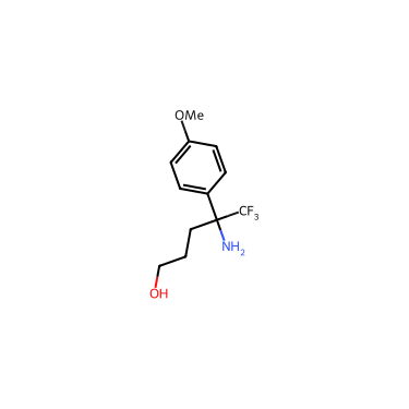 COc1ccc(C(N)(CCCO)C(F)(F)F)cc1